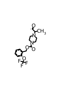 CC([C]=O)N1CCN(C(=O)OCc2ccccc2OC(F)(F)F)CC1